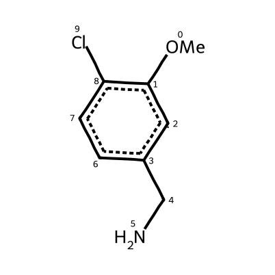 COc1[c]c(CN)ccc1Cl